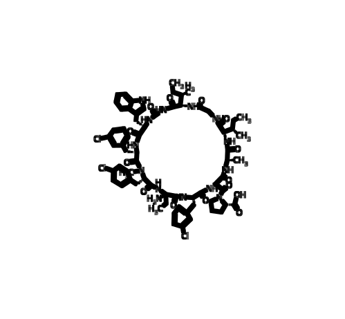 CC[C@H](C)[C@@H]1NC(=O)CNC(=O)[C@H]([C@@H](C)CC)NC(=O)[C@H](C)NC(=O)C(C(=O)N2CCC[C@H]2C(=O)O)NC(=O)[C@H](Cc2cccc(Cl)c2)NC(=O)[C@](N)(CC)NC(=O)[C@H](Cc2ccc(Cl)cc2)N(C)C(=O)[C@H](Cc2cccc(Cl)c2)NC(=O)[C@H](Cc2c[nH]c3ccccc23)NC(=O)NC1=O